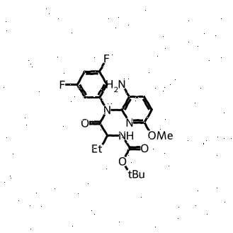 CCC(NC(=O)OC(C)(C)C)C(=O)N(c1cc(F)cc(F)c1)c1nc(OC)ccc1N